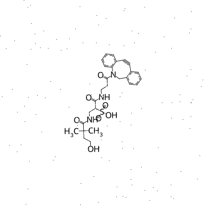 CC(C)(CCO)C(=O)NCC(C(=O)NCCC(=O)N1Cc2ccccc2C#Cc2ccccc21)S(=O)(=O)O